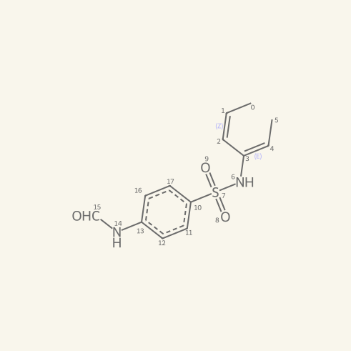 C/C=C\C(=C/C)NS(=O)(=O)c1ccc(NC=O)cc1